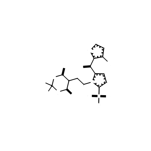 CC1(C)OC(=O)C(CCn2c(C(=O)c3occc3Cl)ccc2S(C)(=O)=O)C(=O)O1